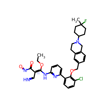 CCO/C(Nc1cccc(-c2cccc(Cl)c2OCc2ccc3c(c2)CCN(C2CCC(C)(F)CC2)C3)n1)=C(/C=N)C(=O)N=O